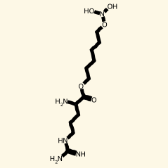 N=C(N)NCCCC(N)C(=O)OCCCCCCON(O)O